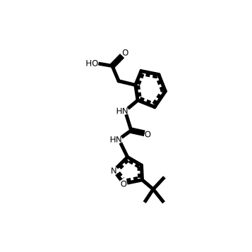 CC(C)(C)c1cc(NC(=O)Nc2ccccc2CC(=O)O)no1